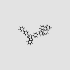 c1ccc(-c2ccc(-c3nc(-c4ccc(-c5cccc(-c6cccc7c6C6(CCCCC6)c6ccccc6-7)c5)cc4)c4sc5ccccc5c4n3)cc2)cc1